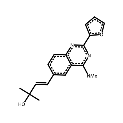 CNc1nc(-c2ccco2)nc2ccc(/C=C/C(C)(C)O)cc12